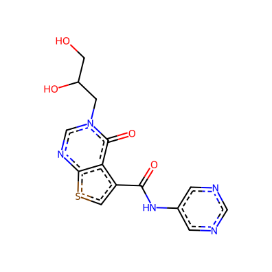 O=C(Nc1cncnc1)c1csc2ncn(CC(O)CO)c(=O)c12